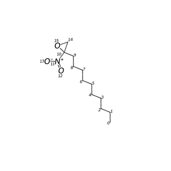 CCCCCCCCCCC1([N+](=O)[O-])CO1